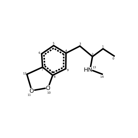 CCC(Cc1ccc2c(c1)OOC2)NC